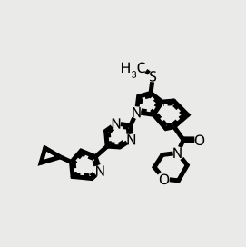 CSc1cn(-c2ncc(-c3cc(C4CC4)ccn3)cn2)c2cc(C(=O)N3CCOCC3)ccc12